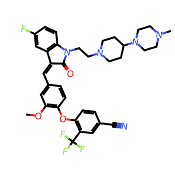 COc1cc(C=C2C(=O)N(CCN3CCC(N4CCN(C)CC4)CC3)c3ccc(F)cc32)ccc1Oc1ccc(C#N)cc1C(F)(F)F